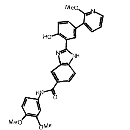 COc1ccc(NC(=O)c2ccc3[nH]c(-c4cc(-c5cccnc5OC)ccc4O)nc3c2)cc1OC